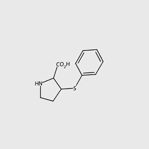 O=C(O)C1NCCC1Sc1ccccc1